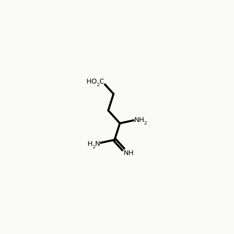 N=C(N)C(N)CCC(=O)O